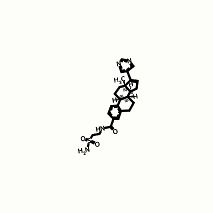 C[C@]12CC[C@@H]3c4ccc(C(=O)NCCS(N)(=O)=O)cc4CC[C@H]3[C@@H]1CC=C2c1cncnc1